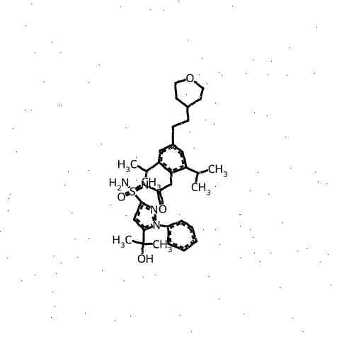 CC(C)c1cc(CCC2CCOCC2)cc(C(C)C)c1CC(=O)N=S(N)(=O)c1cc(C(C)(C)O)n(-c2ccccc2)n1